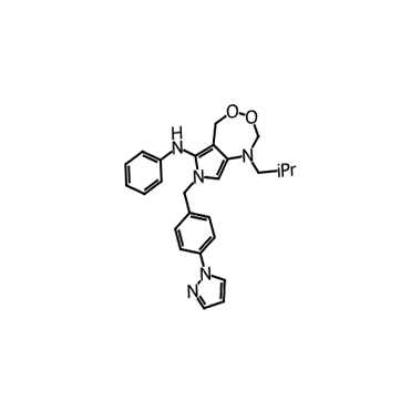 CC(C)CN1COOCc2c1cn(Cc1ccc(-n3cccn3)cc1)c2Nc1ccccc1